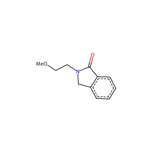 COCCN1Cc2ccccc2C1=O